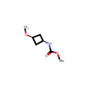 CC(C)(C)OC(=O)N[C@H]1C[C@@H](OC(F)(F)F)C1